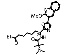 CCC(=O)CCCCC[C@H](NC(=O)C(C)(C)N(C)C)c1ncc(-c2cc3ccccc3nc2OC)o1